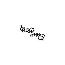 Cc1ccn(Cc2cn3c(C(=O)NCC45CC6CC7CC(C4)C7(C6)C5)cccc3n2)n1